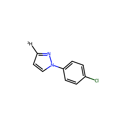 [2H]c1ccn(-c2ccc(Cl)cc2)n1